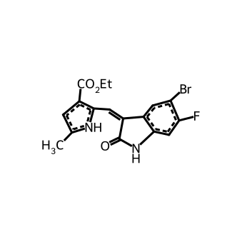 CCOC(=O)c1cc(C)[nH]c1/C=C1\C(=O)Nc2cc(F)c(Br)cc21